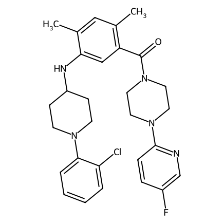 Cc1cc(C)c(C(=O)N2CCN(c3ccc(F)cn3)CC2)cc1NC1CCN(c2ccccc2Cl)CC1